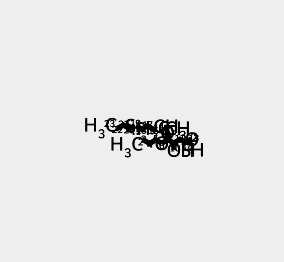 C=C.CCCCOC(=O)C(O)CC(=O)S.CCC[CH2][Sn][CH2]CCC